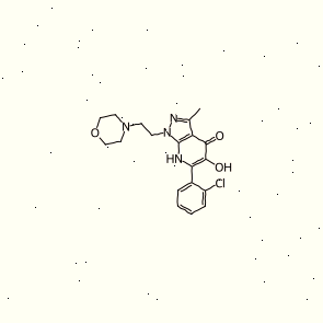 Cc1nn(CCN2CCOCC2)c2[nH]c(-c3ccccc3Cl)c(O)c(=O)c12